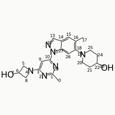 Cc1nc(N2CC(O)C2)cc(-n2ncc3cc(C)c(N4CCC(O)CC4)cc32)n1